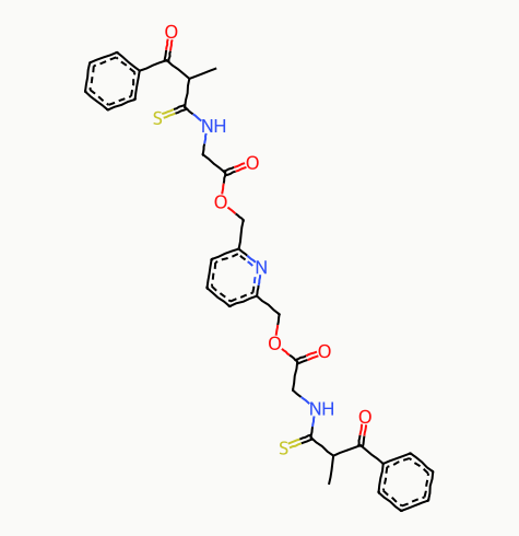 CC(C(=O)c1ccccc1)C(=S)NCC(=O)OCc1cccc(COC(=O)CNC(=S)C(C)C(=O)c2ccccc2)n1